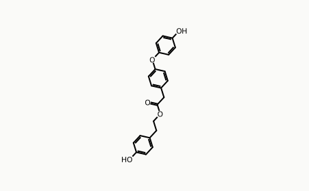 O=C(Cc1ccc(Oc2ccc(O)cc2)cc1)OCCc1ccc(O)cc1